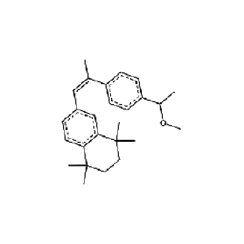 COC(C)c1ccc(C(C)=Cc2ccc3c(c2)C(C)(C)CCC3(C)C)cc1